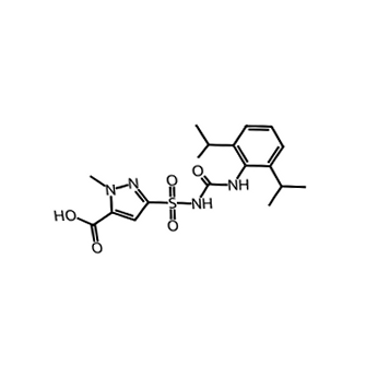 CC(C)c1cccc(C(C)C)c1NC(=O)NS(=O)(=O)c1cc(C(=O)O)n(C)n1